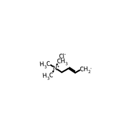 [CH2]C=CC[N+](C)(C)C.[Cl-]